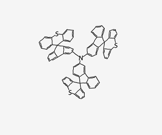 c1ccc2c(c1)Sc1ccccc1C21c2ccccc2-c2cc(N(c3ccc4c(c3)-c3ccccc3C43c4ccccc4Sc4ccccc43)c3ccc4c(c3)-c3ccccc3C43c4ccccc4Sc4ccccc43)ccc21